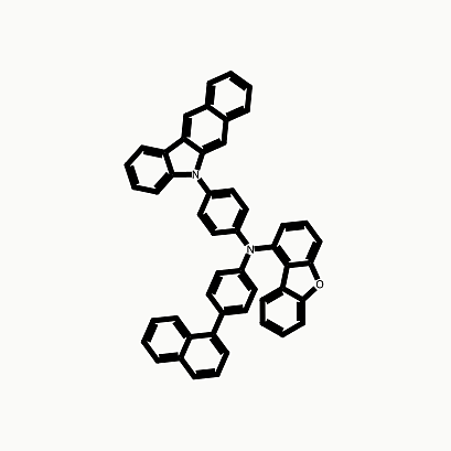 c1ccc2cc3c(cc2c1)c1ccccc1n3-c1ccc(N(c2ccc(-c3cccc4ccccc34)cc2)c2cccc3oc4ccccc4c23)cc1